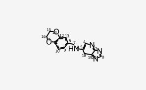 C1=NC2=NC=C(NCc3ccc4c(c3)OCCO4)CC2=N1